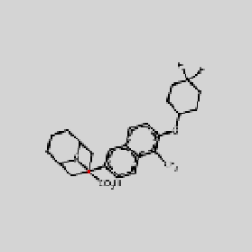 O=C(O)C1CC2CCCC(C1)N2Cc1ccc2c(C(F)(F)F)c(OC3CCC(F)(F)CC3)ccc2c1